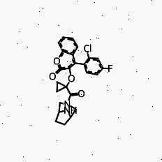 O=C(N1CC2CCC(C1)N2)C1(Oc2c(-c3ccc(F)cc3Cl)c3ccccc3oc2=O)CC1